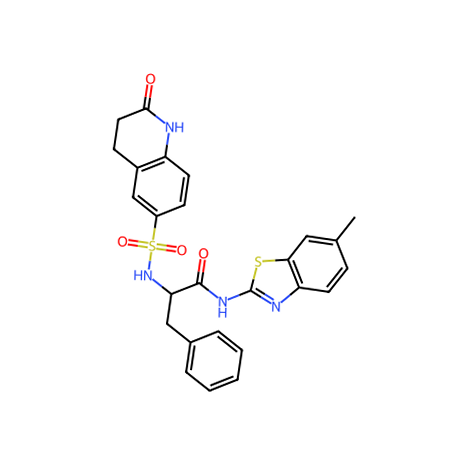 Cc1ccc2nc(NC(=O)C(Cc3ccccc3)NS(=O)(=O)c3ccc4c(c3)CCC(=O)N4)sc2c1